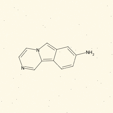 Nc1ccc2c(c1)cn1ccncc21